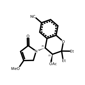 CCC1(CC)Oc2ccc(C#N)cc2[C@@H](N2CC(OC)=CC2=O)[C@@H]1OC(C)=O